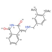 CC(=O)Oc1ccc(CNC=C2C(=O)NC(=O)c3ccccc32)cc1OC(C)=O